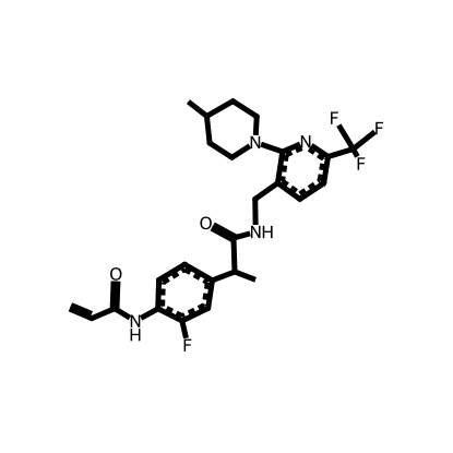 C=CC(=O)Nc1ccc(C(C)C(=O)NCc2ccc(C(F)(F)F)nc2N2CCC(C)CC2)cc1F